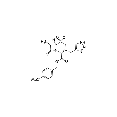 COc1ccc(COC(=O)C2=C(Cc3c[nH]nn3)CS(=O)(=O)[C@H]3[C@H](N)C(=O)N23)cc1